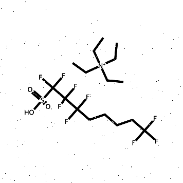 CC[N+](CC)(CC)CC.O=S(=O)(O)C(F)(F)C(F)(F)C(F)(F)CCCCC(F)(F)F